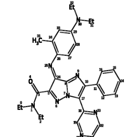 CCN(CC)C(=O)C1=Nn2c(nc(-c3ccccc3)c2-c2cnccn2)/C1=N\c1ccc(N(CC)CC)cc1C